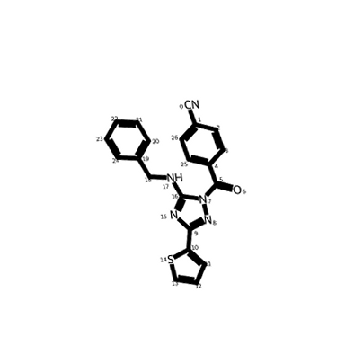 N#Cc1ccc(C(=O)n2nc(-c3cccs3)nc2NCc2ccccc2)cc1